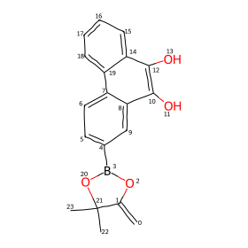 C=C1OB(c2ccc3c(c2)c(O)c(O)c2ccccc23)OC1(C)C